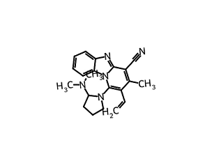 C=Cc1c(C)c(C#N)c2nc3ccccc3n2c1N1CCCC1N(C)C